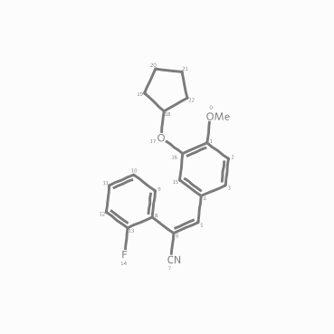 COc1ccc(C=C(C#N)c2ccccc2F)cc1OC1CCCC1